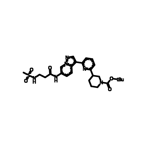 CC(C)(C)OC(=O)N1CCCC(c2cccc(-c3cnn4cc(NC(=O)CCNS(C)(=O)=O)ccc34)n2)C1